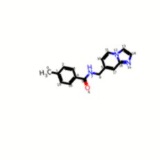 Cc1ccc(C(=O)NCc2ccn3ccnc3c2)cc1